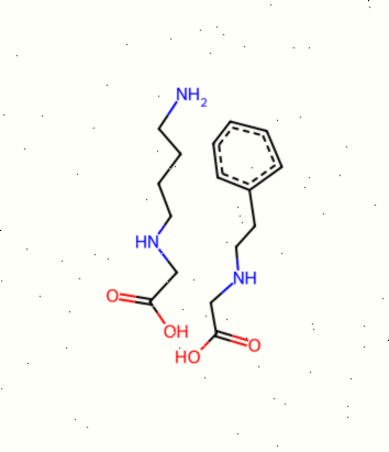 NCCCCNCC(=O)O.O=C(O)CNCCc1ccccc1